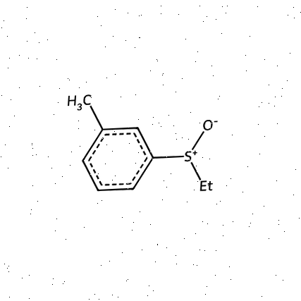 CC[S+]([O-])c1cccc(C)c1